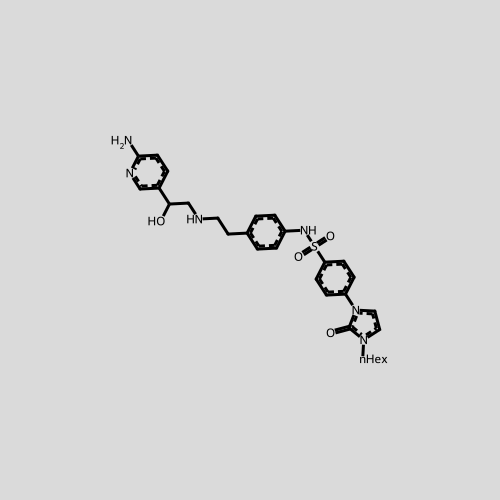 CCCCCCn1ccn(-c2ccc(S(=O)(=O)Nc3ccc(CCNCC(O)c4ccc(N)nc4)cc3)cc2)c1=O